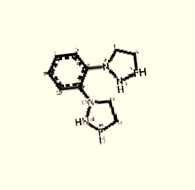 c1ccc(N2CCPN2)c(N2CCPN2)c1